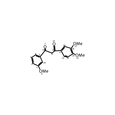 COc1cccc(C(=O)CC(=O)c2ccc(OC)c(OC)c2)c1